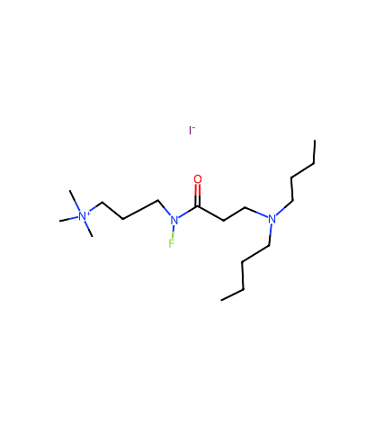 CCCCN(CCCC)CCC(=O)N(F)CCC[N+](C)(C)C.[I-]